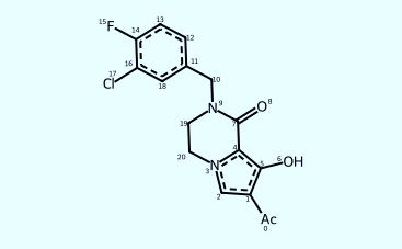 CC(=O)c1cn2c(c1O)C(=O)N(Cc1ccc(F)c(Cl)c1)CC2